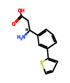 N[C@@H](CC(=O)O)c1cccc(-c2cccs2)c1